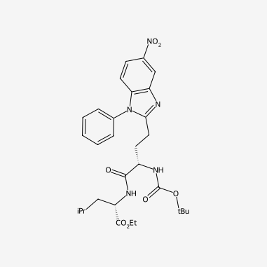 CCOC(=O)[C@H](CC(C)C)NC(=O)[C@H](CCc1nc2cc([N+](=O)[O-])ccc2n1-c1ccccc1)NC(=O)OC(C)(C)C